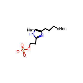 CCCCCCCCCCCCc1c[nH]c(CCOS(=O)(=O)[O-])n1.[Na+]